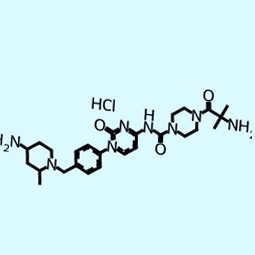 CC1CC(N)CCN1Cc1ccc(-n2ccc(NC(=O)N3CCN(C(=O)C(C)(C)N)CC3)nc2=O)cc1.Cl